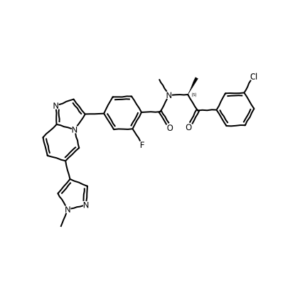 C[C@@H](C(=O)c1cccc(Cl)c1)N(C)C(=O)c1ccc(-c2cnc3ccc(-c4cnn(C)c4)cn23)cc1F